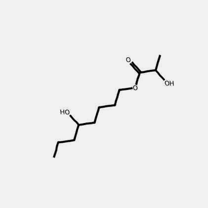 CCCC(O)CCCCOC(=O)C(C)O